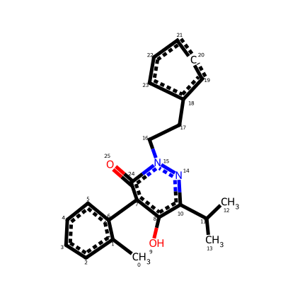 Cc1ccccc1-c1c(O)c(C(C)C)nn(CCc2ccccc2)c1=O